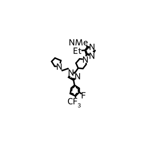 CCc1c(NC)ncnc1N1CCC(c2nc(-c3ccc(C(F)(F)F)c(F)c3)cn2CCN2CCCC2)CC1